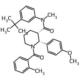 COc1ccc([C@H]2[C@@H](C(=O)N(C)c3cccc(C(C)(C)C)c3)CCCN2C(=O)c2ccccc2C)cc1